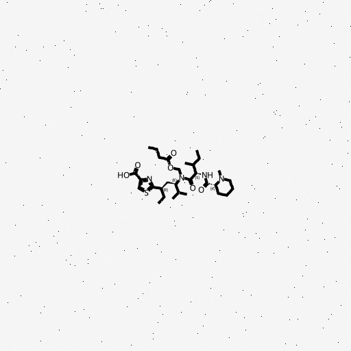 CCCC(=O)OCN(C(=O)[C@@H](NC(=O)[C@H]1CCCCN1C)C(C)CC)[C@H](C[C@@H](CC)c1nc(C(=O)O)cs1)C(C)C